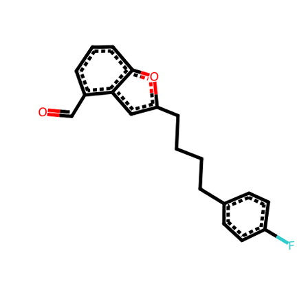 O=Cc1cccc2oc(CCCCc3ccc(F)cc3)cc12